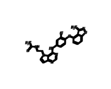 CC(=O)NCCn1ccc2ncnc(Nc3ccc(Oc4cccc5onc(C)c45)c(Cl)c3)c21